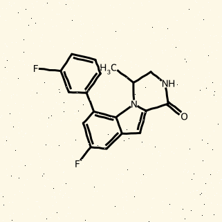 CC1CNC(=O)c2cc3cc(F)cc(-c4cccc(F)c4)c3n21